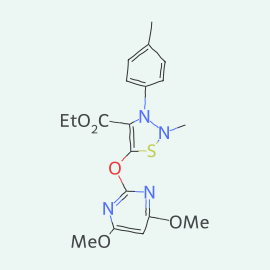 CCOC(=O)C1=C(Oc2nc(OC)cc(OC)n2)SN(C)N1c1ccc(C)cc1